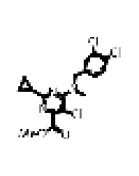 COC(=O)c1nc(C2CC2)nc(N(C)Cc2ccc(Cl)c(Cl)c2)c1Cl